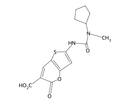 CN(C(=O)Nc1cc2oc(=O)c(C(=O)O)cc2s1)C1CCCC1